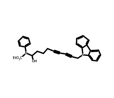 CCOC(=O)N(c1ccccc1)C(O)CCCC#CC#CCn1c2ccccc2c2ccccc21